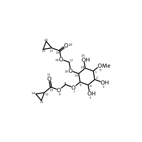 COC1C(O)C(O)C(OCOC(=O)C2CC2)C(OCOC(=O)C2CC2)C1O